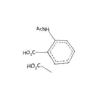 CC(=O)Nc1ccccc1C(=O)O.CC(=O)O